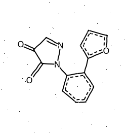 O=C1C=NN(c2ccccc2-c2ccco2)C1=O